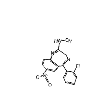 O=[N+]([O-])c1ccc2c(c1)C(c1ccccc1Cl)=NCC(NO)=N2